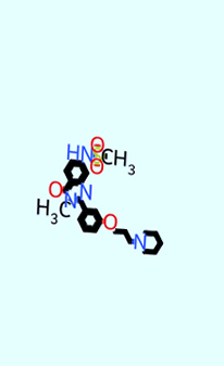 Cn1c(-c2cccc(OCCCN3CCCCC3)c2)nc2cc(NS(C)(=O)=O)ccc2c1=O